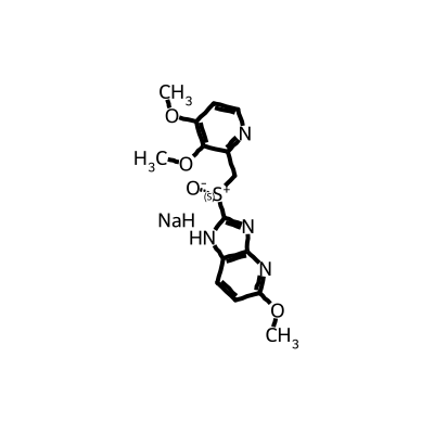 COc1ccc2[nH]c([S@+]([O-])Cc3nccc(OC)c3OC)nc2n1.[NaH]